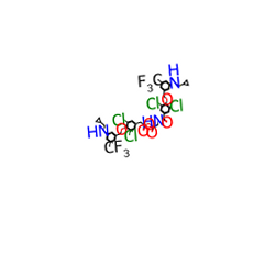 O=C(CNC(=O)c1cc(Cl)c(OCc2cc(NCC3CC3)cc(C(F)(F)F)c2)c(Cl)c1)OC(=O)Cc1cc(Cl)c(OCc2cc(NCC3CC3)cc(C(F)(F)F)c2)c(Cl)c1